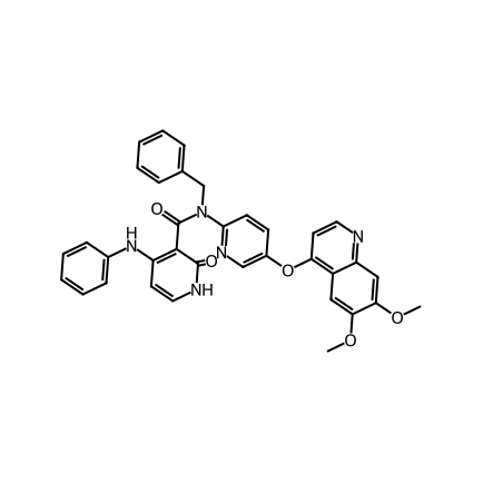 COc1cc2nccc(Oc3ccc(N(Cc4ccccc4)C(=O)c4c(Nc5ccccc5)cc[nH]c4=O)nc3)c2cc1OC